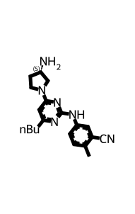 CCCCc1cc(N2CC[C@H](N)C2)nc(Nc2ccc(C)c(C#N)c2)n1